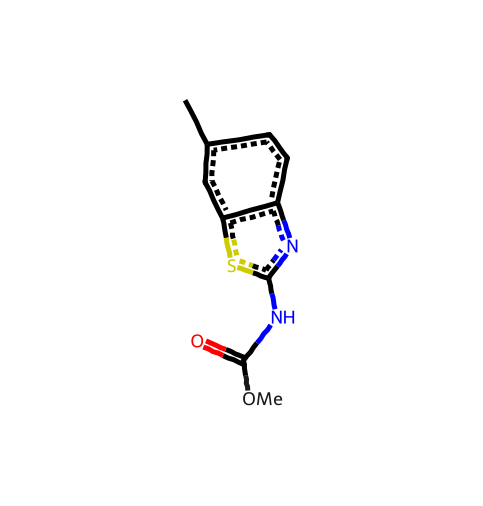 COC(=O)Nc1nc2ccc(C)cc2s1